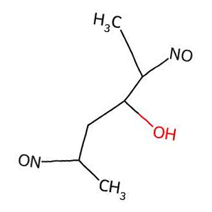 CC(CC(O)C(C)N=O)N=O